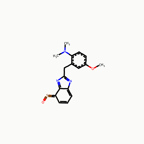 COc1ccc(N(C)C)c(CC2=NC3=CC=CC(=S=O)C3=N2)c1